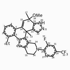 CCc1cccc2c1-n1nc3c(c1C1(C)C2=CC(C)(OC)c2[nH]ncc21)CN(c1ncc(C(F)(F)F)cc1F)CC3